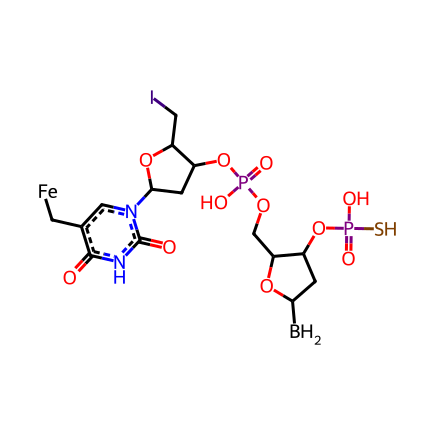 BC1CC(OP(=O)(O)S)C(COP(=O)(O)OC2CC(n3cc([CH2][Fe])c(=O)[nH]c3=O)OC2CI)O1